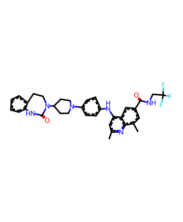 Cc1cc(Nc2ccc(N3CCC(N4CCc5ccccc5NC4=O)CC3)cc2)c2cc(C(=O)NCC(F)(F)F)cc(C)c2n1